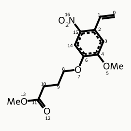 C=Cc1cc(OC)c(OCCCC(=O)OC)cc1[N+](=O)[O-]